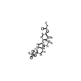 CCC(=O)Oc1cccc(C(C)Cn2ccc3cc(OS(C)(=O)=O)ccc32)c1C